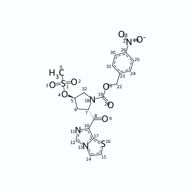 CS(=O)(=O)O[C@@H]1C[C@@H](C(=O)c2ncn3ccsc23)N(C(=O)OCc2ccc([N+](=O)[O-])cc2)C1